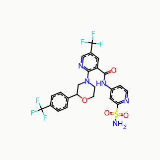 NS(=O)(=O)c1cc(NC(=O)c2cc(C(F)(F)F)cnc2N2CCOC(c3ccc(C(F)(F)F)cc3)C2)ccn1